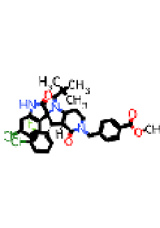 COC(=O)c1ccc(CN2CCC3[C@@H](C2=O)[C@H](c2cccc(Cl)c2F)[C@]2(C(=O)Nc4cc(Cl)ccc42)N3CC(C)(C)C)cc1